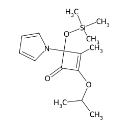 CC1=C(OC(C)C)C(=O)C1(O[Si](C)(C)C)n1cccc1